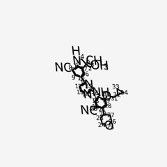 C[C@]1(CO)CNc2c(C#N)cc(-c3ccnc(Nc4cc(C#N)c(C5CCOCC5)cc4OCC4CC4)n3)cc21